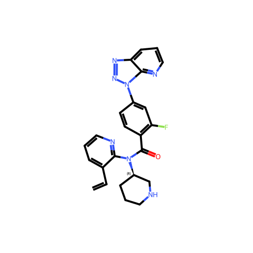 C=Cc1cccnc1N(C(=O)c1ccc(-n2nnc3cccnc32)cc1F)[C@@H]1CCCNC1